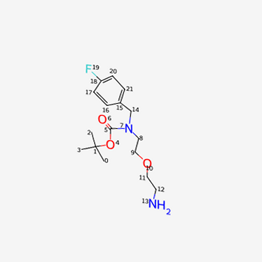 CC(C)(C)OC(=O)N(CCOCCN)Cc1ccc(F)cc1